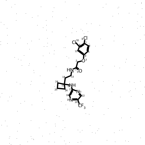 O=C(COc1ccc(Cl)c(Cl)c1)NCCC1(Nc2cnc(C(F)(F)F)cn2)CCC1